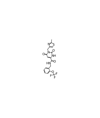 Cc1nc(Cn2c(=O)cc(C(=O)NCc3ccccc3OC(F)(F)F)[nH]c2=O)cs1